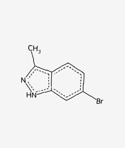 Cc1n[nH]c2cc(Br)ccc12